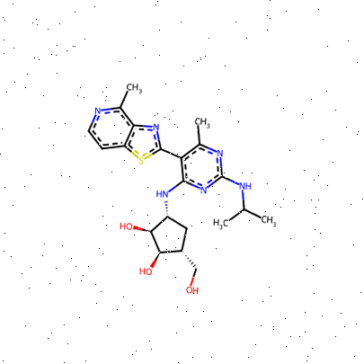 Cc1nc(NC(C)C)nc(N[C@@H]2C[C@H](CO)[C@@H](O)[C@H]2O)c1-c1nc2c(C)nccc2s1